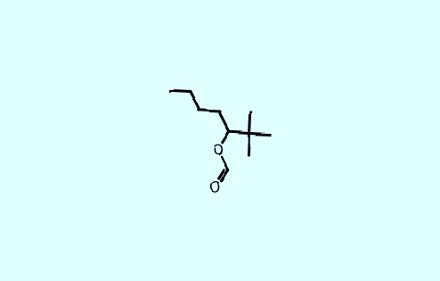 CCCCC(OC=O)C(C)(C)C